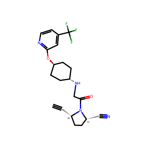 C#C[C@H]1CC[C@@H](C#N)N1C(=O)CN[C@H]1CC[C@H](Oc2cc(C(F)(F)F)ccn2)CC1